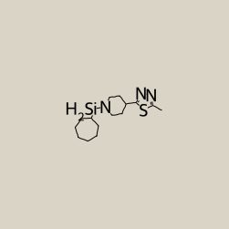 Cc1nnc(C2CCN([SiH2]C3CCCCCC3)CC2)s1